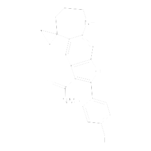 CNC(=O)c1c(-c2ccc(F)cc2)oc2cc3c(cc12)C1(CCCN3)CC1